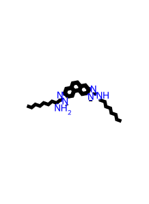 CCCCCCCCNc1nc2cc3ccc4cc5nc(C(N)CCCCCCC)n(C)c5cc4c3cc2n1C